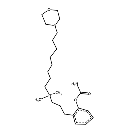 C[N+](C)(CCCCCCCCN1CCOCC1)CCCc1ccccc1OC(N)=O